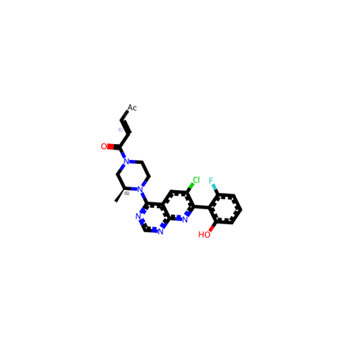 CC(=O)/C=C/C(=O)N1CCN(c2ncnc3nc(-c4c(O)cccc4F)c(Cl)cc23)[C@@H](C)C1